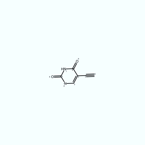 C#CC1=C[N]C(=O)NC1=O